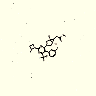 COC(=O)CC1[C@H]2CN(c3nc(N4CCC4C)nc(C(F)(F)F)c3-c3cccc(F)c3)C[C@@H]12